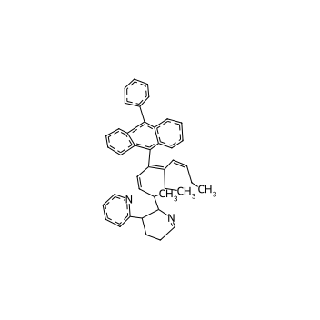 CC\C=C/C(CC)=C(/C=C\C(C)C1N=CCCC1c1ccccn1)c1c2ccccc2c(-c2ccccc2)c2ccccc12